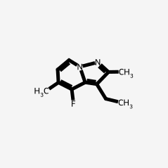 CCc1c(C)nn2ccc(C)c(F)c12